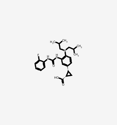 CC(C)CN(CC(C)C)c1ccc([C@@H]2C[C@@H]2C(=O)O)cc1NC(=O)Nc1ccccc1F